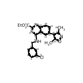 CCOC(=O)c1nc(NCc2cccc(Cl)c2)c2cc(-c3c(C)noc3C)ccc2n1